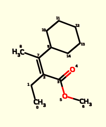 CCC(C(=O)OC)=C(C)C1CCCCC1